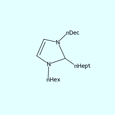 CCCCCCCCCCN1C=CN(CCCCCC)C1CCCCCCC